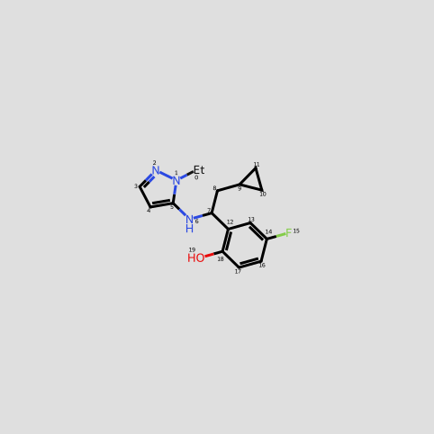 CCn1nccc1NC(CC1CC1)c1cc(F)ccc1O